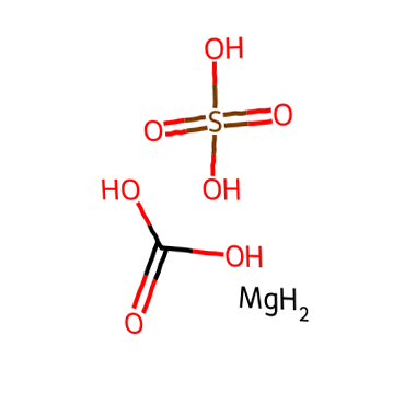 O=C(O)O.O=S(=O)(O)O.[MgH2]